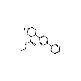 CCOC(=O)[C@H]1CNCC[C@H]1c1ccc(-c2ccccc2)cc1